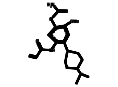 C=CC(=O)Nc1cc(OC(N)=O)c(OC)cc1N1CCC(N(C)C)CC1